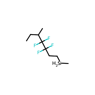 CCC(C)C(F)(F)C(F)(F)CC[SiH2]C